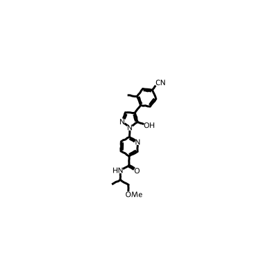 COCC(C)NC(=O)c1ccc(-n2ncc(-c3ccc(C#N)cc3C)c2O)nc1